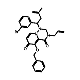 C=CCN1CN(C(CC(=C)C)c2cccc(Br)c2)n2ccc(=O)c(OCc3ccccc3)c2C1=O